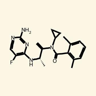 C=C([C@H](C)Nc1nc(N)ncc1F)N(C(=O)c1c(C)cccc1C)C1CC1